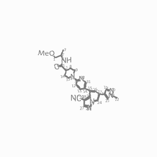 COCC(C)NC(=O)C1CCN(c2ccc(-c3cc(-c4cnn(C)c4)cn4ncc(C#N)c34)cn2)CC1